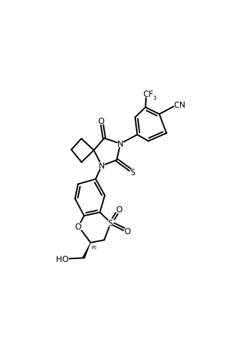 N#Cc1ccc(N2C(=O)C3(CCC3)N(c3ccc4c(c3)S(=O)(=O)C[C@@H](CO)O4)C2=S)cc1C(F)(F)F